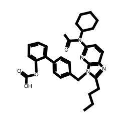 CCCCc1nc2ccc(N(C(C)=O)C3CCCCC3)nc2n1Cc1ccc(-c2ccccc2OC(=O)O)cc1